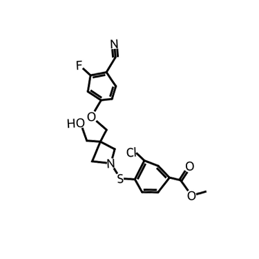 COC(=O)c1ccc(SN2CC(CO)(COc3ccc(C#N)c(F)c3)C2)c(Cl)c1